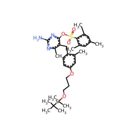 Cc1cc(C)c(S(=O)(=O)Oc2nc(N)nc(C)c2Cc2ccc(OCCCO[Si](C)(C)C(C)(C)C)cc2C)c(C)c1